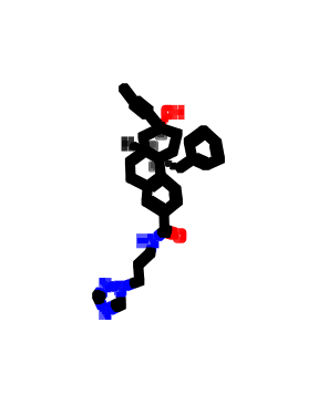 CC#C[C@@]1(O)CC[C@@]2(Cc3ccccc3)c3ccc(C(=O)NCCCn4cncn4)cc3CC[C@@H]2C1